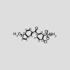 Cn1ccc2cc(C(=O)c3ccc(Cl)c(S(N)(=O)=O)c3)ccc21